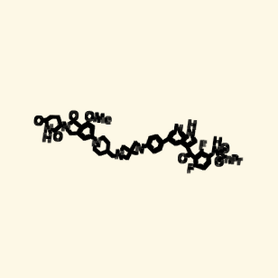 CCCS(=O)(=O)Nc1ccc(F)c(C(=O)c2c[nH]c3ncc(-c4ccc(N5CC6(CN(CC7CCN(c8cc9c(c(OC)c8)C(=O)N([C@H]8CCC(=O)NC8=O)C9)CC7)C6)C5)cc4)cc23)c1F